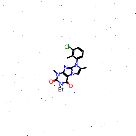 CCn1c(=O)c2c(nc3n(-c4cccc(Cl)c4C)c(C)cn23)n(C)c1=O